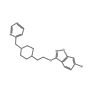 Fc1ccc2c(OCCC3CCN(Cc4ccccn4)CC3)noc2c1